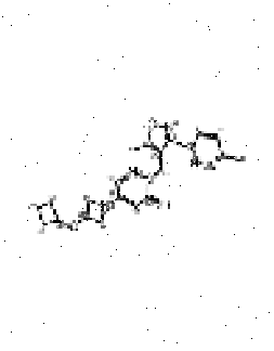 Cc1ccc(-c2noc(C)c2Cn2ncc(N3CC(OC4CCC4)C3)cc2=O)nn1